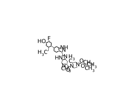 CCc1cc(O)c(F)cc1-c1ccc2c(-c3nc4c([nH]3)CN(C)C(C(=O)N3CCN(C(=O)OC(C)(C)C)CC3C)C4)n[nH]c2c1